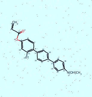 C=CC(=O)Oc1ccc(-c2ccc(-c3ccc(N(C)O)cc3)cc2)c(CC)c1